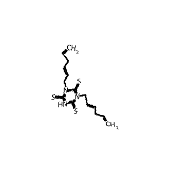 C=CC/C=C/Cn1c(=S)[nH]c(=S)n(C/C=C/CC=C)c1=S